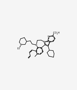 C=C/C=C\c1c(C)ccc2c1N(CCC1CCCN(CC)C1)CCn1c-2c(C2CCCCC2)c2ccc(C(=O)O)nc21